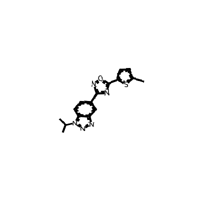 Cc1ccc(-c2nc(-c3ccc4c(c3)nnn4C(C)C)no2)s1